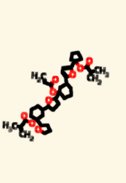 C=CC(=O)OC1(C2CCC(C3CCCC(OC(=O)C(=C)C)(C4CCCO4)C3)O2)CCCC(c2ccc(C3(OC(=O)C(=C)C)CCCC3)o2)C1